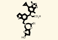 CC[C@@H]1CN(Cc2cc([C@H](CC(=O)O)c3cc(C4CC4)c4c(nnn4C)c3C)cc3ccsc23)Cc2nc(O)ccc2O1